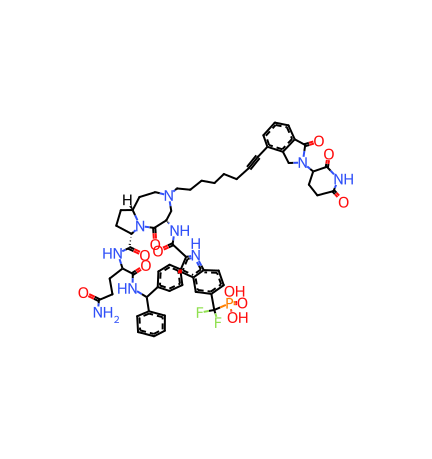 NC(=O)CCC(NC(=O)[C@@H]1CC[C@@H]2CCN(CCCCCCC#Cc3cccc4c3CN(C3CCC(=O)NC3=O)C4=O)C[C@H](NC(=O)c3cc4cc(C(F)(F)P(=O)(O)O)ccc4[nH]3)C(=O)N21)C(=O)NC(c1ccccc1)c1ccccc1